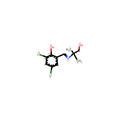 CC(C)(CO)N=Cc1cc(Cl)cc(Cl)c1O